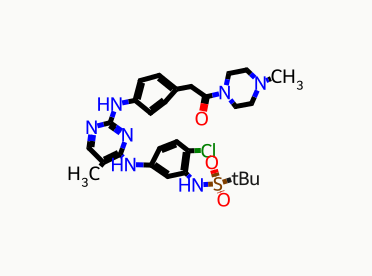 Cc1cnc(Nc2ccc(CC(=O)N3CCN(C)CC3)cc2)nc1Nc1ccc(Cl)c(NS(=O)(=O)C(C)(C)C)c1